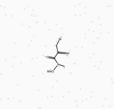 CON(C)C(=O)C(=N)CBr